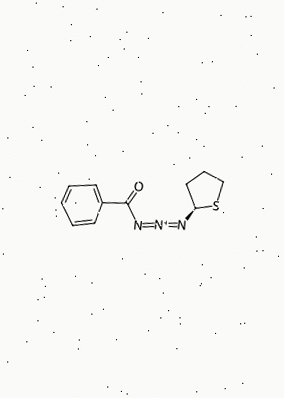 O=C(N=[N+]=N[C@H]1CCCS1)c1ccccc1